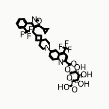 O=C(O[C@@H]1O[C@H](C(=O)O)[C@@H](O)[C@H](O)[C@H]1O)c1cc(C(F)(F)F)c2cc(N3CCC4(CC3)CC(Cc3c(-c5ccccc5C(F)(F)F)noc3C3CC3)C4)ccc2n1